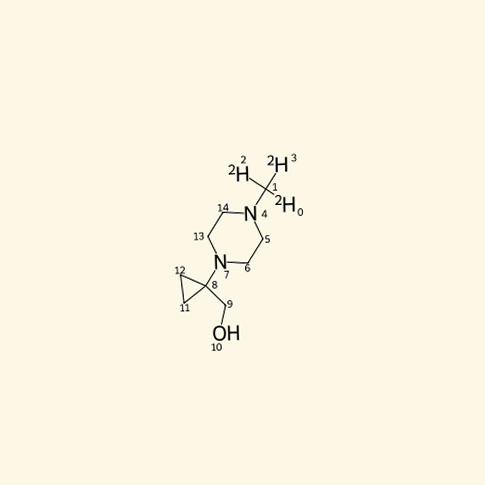 [2H]C([2H])([2H])N1CCN(C2(CO)CC2)CC1